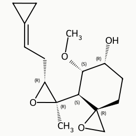 CO[C@@H]1[C@H](O)CC[C@]2(CO2)[C@H]1[C@@]1(C)O[C@@H]1CC=C1CC1